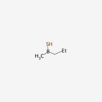 CCCB(C)S